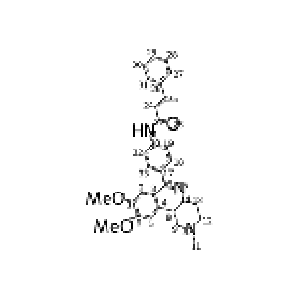 COc1cc2c(cc1OC)C1CN(C)CCC1N=C2c1ccc(NC(=O)C=Cc2ccccc2)cc1